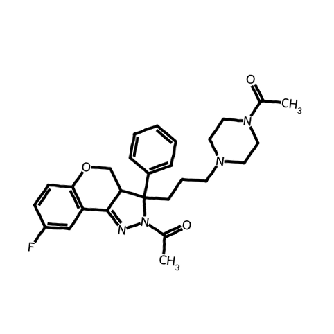 CC(=O)N1CCN(CCCC2(c3ccccc3)C3COc4ccc(F)cc4C3=NN2C(C)=O)CC1